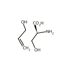 C=CCO.N[C@@H](CO)C(=O)O